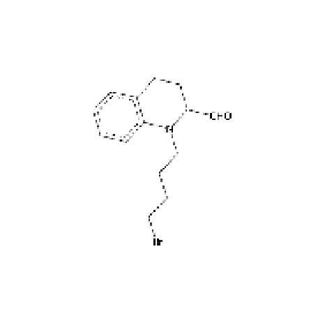 O=CC1CCc2ccccc2N1CCCCBr